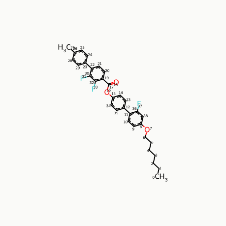 CCCCCCCOc1ccc(-c2ccc(OC(=O)c3ccc(-c4ccc(C)cc4)c(F)c3F)cc2)c(F)c1